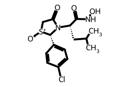 CC(C)C[C@@H](C(=O)NO)N1C(=O)C[S+]([O-])[C@H]1c1ccc(Cl)cc1